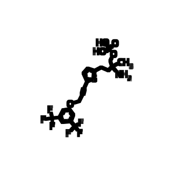 CC(N)(CCc1ccc(C#CCOc2cc(C(F)(F)F)cc(C(F)(F)F)c2)s1)COP(=O)(O)O